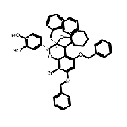 Oc1ccc([C@H]2Oc3c(Br)c(OCc4ccccc4)cc(OCc4ccccc4)c3C(Cc3ccccc3)[C@]2(Cc2ccccc2)OC2CCCCO2)cc1O